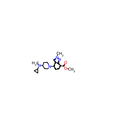 COC(=O)c1ccc(N2CCC(N(C)C3CC3)CC2)c2cn(C)nc12